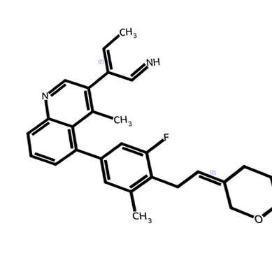 C/C=C(\C=N)c1cnc2cccc(-c3cc(C)c(C/C=C4/CCCOC4)c(F)c3)c2c1C